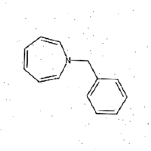 C1=CC=CN(Cc2ccccc2)C=C1